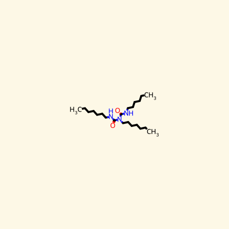 CCCCCCCNC(=O)N(CCCCCCC)C(=O)NCCCCCC